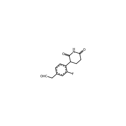 O=CCc1ccc(C2CCC(=O)NC2=O)c(F)c1